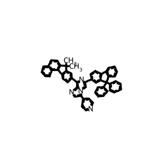 CC1(C)c2cc(-c3nc(-c4ccc5c(c4)C(c4ccccc4)(c4ccccc4)c4ccccc4-5)cn4c(-c5ccncc5)cnc34)ccc2-c2c1ccc1ccccc21